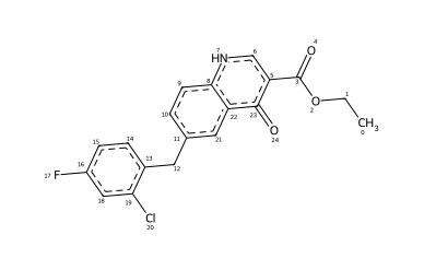 CCOC(=O)c1c[nH]c2ccc(Cc3ccc(F)cc3Cl)cc2c1=O